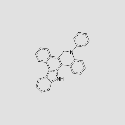 c1ccc(N2Cc3c(c4[nH]c5ccccc5c4c4ccccc34)-c3ccccc32)cc1